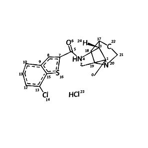 CC1(C)[C@H](NC(=O)c2cc3cccc(Cl)c3s2)C2CCN1CC2.Cl